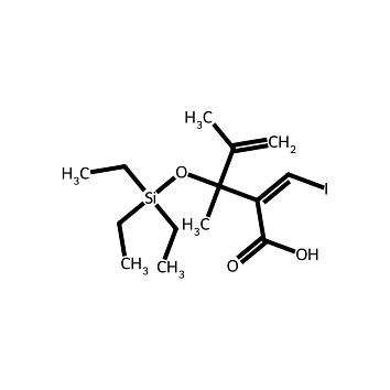 C=C(C)C(C)(O[Si](CC)(CC)CC)C(=CI)C(=O)O